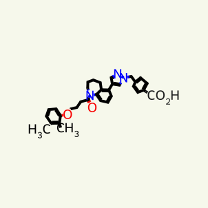 Cc1cccc(OCCCC(=O)N2CCCCc3c(-c4cnn(Cc5ccc(C(=O)O)cc5)c4)cccc32)c1C